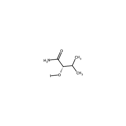 CC(C)[C@H](OI)C(N)=O